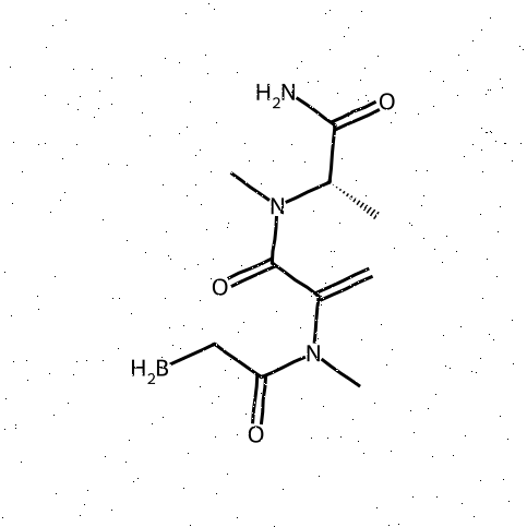 BCC(=O)N(C)C(=C)C(=O)N(C)[C@@H](C)C(N)=O